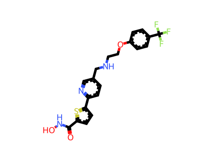 O=C(NO)c1ccc(-c2ccc(CNCCOc3ccc(C(F)(F)F)cc3)cn2)s1